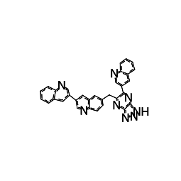 c1ccc2ncc(-c3cnc4ccc(Cc5nc6nn[nH]c6nc5-c5cnc6ccccc6c5)cc4c3)cc2c1